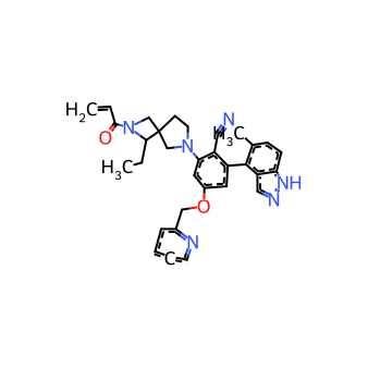 C=CC(=O)N1CC2(CCN(c3cc(OCc4ccccn4)cc(-c4c(C)ccc5[nH]ncc45)c3C#N)C2)C1CC